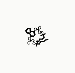 CCCCCC(C)(C)OOC(=O)Oc1ccc(OC(=O)OOC(C)(C)CCCCC)c2ccccc12